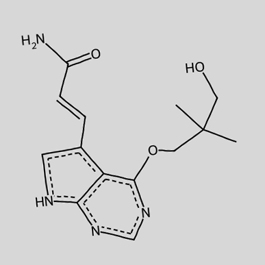 CC(C)(CO)COc1ncnc2[nH]cc(C=CC(N)=O)c12